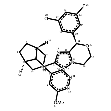 COc1cc(N2C[C@H]3CC[C@H](C2)C3Nc2nc3n(n2)CCO[C@@H]3c2cc(F)cc(Cl)c2)cnn1